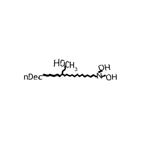 CCCCCCCCCCCCCCCCC(CCCCCCCCCCCCCN(CCO)CCO)CCC(C)O